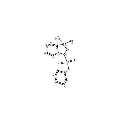 O=S(=O)(Cc1ccccc1)C1CS(O)(O)c2ccccc21